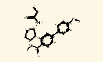 CCC(=O)N[C@H]1CC[C@@H](N(C)C(=O)c2ccc(-c3ccc(OC)cc3)cc2)C1